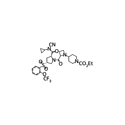 CCOC(=O)N1CCC(N2CCC2C(=O)N2C[C@H](S(=O)(=O)c3ccccc3OC(F)(F)F)C[C@H]2C(=O)N(C#N)C2CC2)CC1